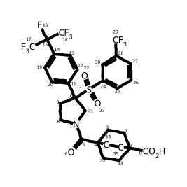 O=C(O)C12CCC(C(=O)N3CCC(c4ccc(C(F)(C(F)(F)F)C(F)(F)F)cc4)(S(=O)(=O)c4cccc(C(F)(F)F)c4)C3)(CC1)CC2